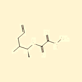 C=CCC(C)[C@H](C)NC(=O)C(=O)NN